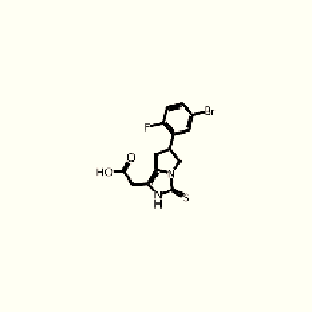 O=C(O)Cc1[nH]c(=S)n2c1CC(c1cc(Br)ccc1F)C2